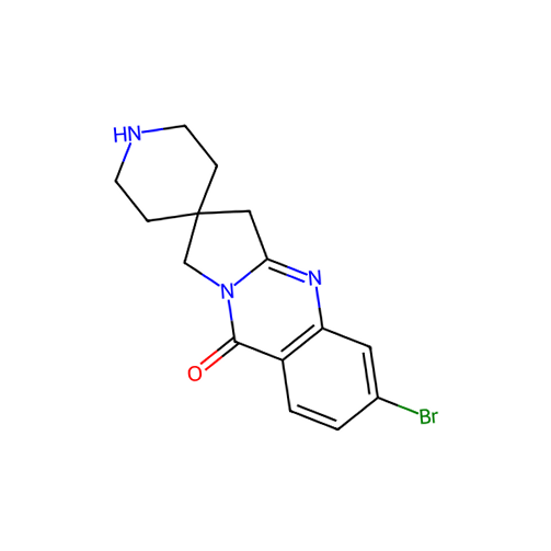 O=c1c2ccc(Br)cc2nc2n1CC1(CCNCC1)C2